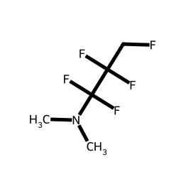 CN(C)C(F)(F)C(F)(F)CF